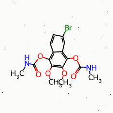 CNC(=O)Oc1c(OC)c(OC)c(OC(=O)NC)c2cc(Br)ccc12